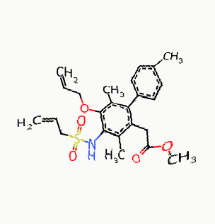 C=CCOc1c(C)c(-c2ccc(C)cc2)c(CC(=O)OC)c(C)c1NS(=O)(=O)CC=C